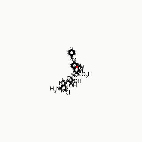 Nc1nc(Cl)nc2c1ncn2[C@@H]1O[C@H](COC(Cc2ccc(OCc3ccccc3)cc2)(C(=O)O)c2nnn[nH]2)[C@@H](O)[C@H]1O